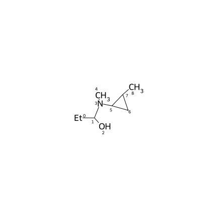 CCC(O)N(C)C1CC1C